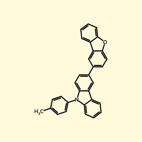 Cc1ccc(-n2c3ccccc3c3cc(-c4ccc5oc6ccccc6c5c4)ccc32)cc1